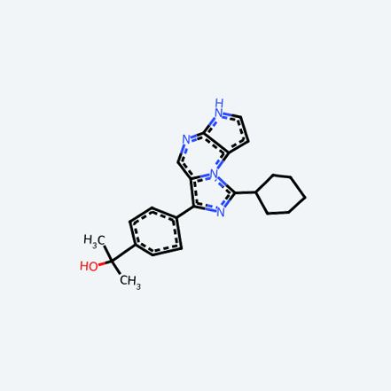 CC(C)(O)c1ccc(-c2nc(C3CCCCC3)n3c2cnc2[nH]ccc23)cc1